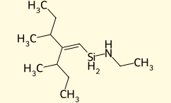 CCN[SiH2]C=C(C(C)CC)C(C)CC